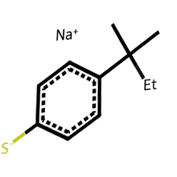 CCC(C)(C)c1ccc([S-])cc1.[Na+]